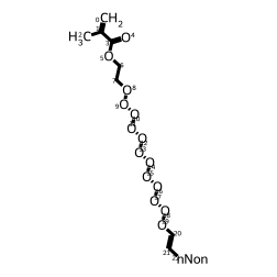 C=C(C)C(=O)OCCOOOOOOOOOOOOC=CCCCCCCCCC